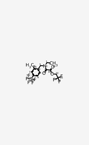 CCN(Cc1ccc(S(F)(F)(F)(F)F)cc1C)C(=O)C(=O)OCC(F)(F)F